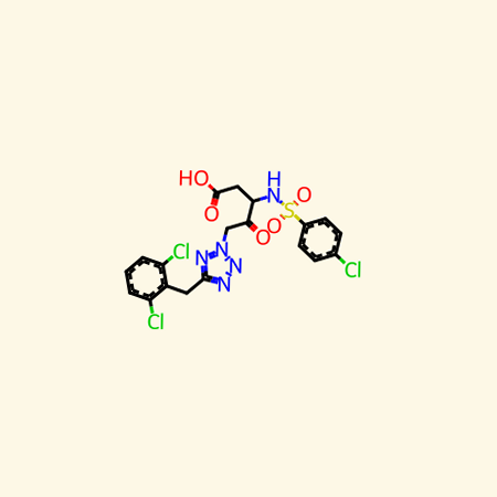 O=C(O)CC(NS(=O)(=O)c1ccc(Cl)cc1)C(=O)Cn1nnc(Cc2c(Cl)cccc2Cl)n1